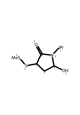 CSSC1CC(O)N(C(C)C)C1=O